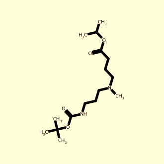 CC(C)OC(=O)CCCN(C)CCCNC(=O)OC(C)(C)C